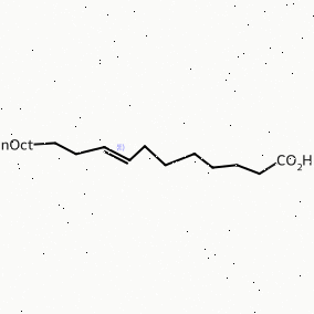 CCCCCCCCCC/C=C/CCCCCCC(=O)O